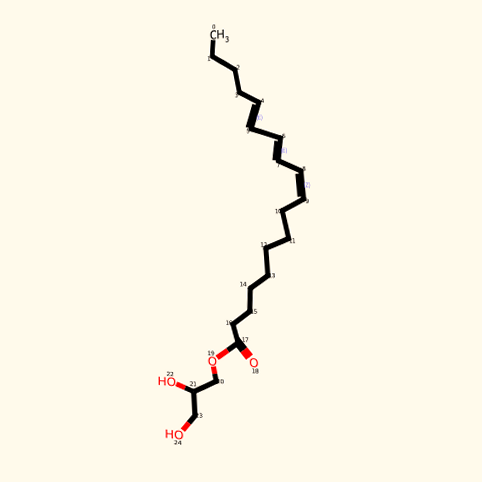 CCCC/C=C/C=C/C=C\CCCCCCCC(=O)OCC(O)CO